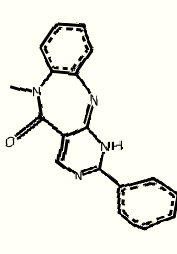 CN1C(=O)C2=CN=C(c3ccccc3)NC2=Nc2ccccc21